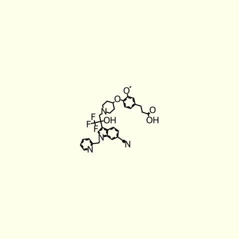 COc1cc(CCC(=O)O)ccc1OC1CCN(CC(O)(c2cn(Cc3ccccn3)c3cc(C#N)ccc23)C(F)(F)F)CC1